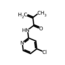 C=C(C)C(=O)Nc1cc(Cl)ccn1